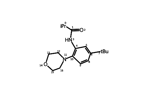 CC(C)C(=O)Nc1cc(C(C)(C)C)ccc1N1CCOCC1